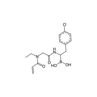 C=CC(=O)N(CC)CC(=O)NC(Cc1ccc(Cl)cc1)B(O)O